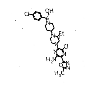 CC[C@H]1CN(c2nc(N)c(-c3nnc(C)o3)nc2Cl)CCN1C1CCN([C@@H](CO)c2ccc(Cl)cc2)CC1